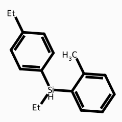 CCc1ccc([SiH](CC)c2ccccc2C)cc1